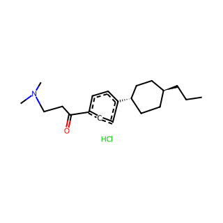 CCC[C@H]1CC[C@H](c2ccc(C(=O)CCN(C)C)cc2)CC1.Cl